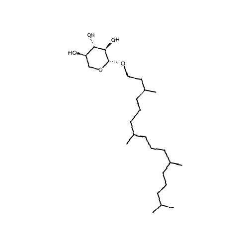 CC(C)CCCC(C)CCCC(C)CCCC(C)CCO[C@@H]1OC[C@@H](O)[C@H](O)[C@H]1O